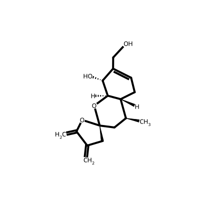 C=C1C[C@@]2(C[C@H](C)[C@H]3CC=C(CO)[C@@H](O)[C@@H]3O2)OC1=C